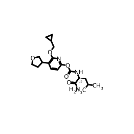 CC(C)C[C@H](NC(=O)Oc1ccc(C2CCOC2)c(OCC2CC2)n1)C(N)=O